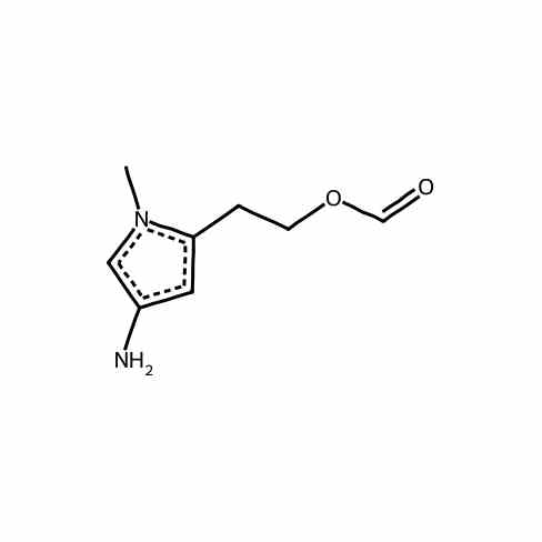 Cn1cc(N)cc1CCOC=O